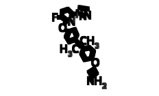 CC(C)(c1ccc(Oc2nc(-n3ccnn3)ccc2F)cc1)c1ccc(O[C@H]2C[C@H](N)C2)cc1